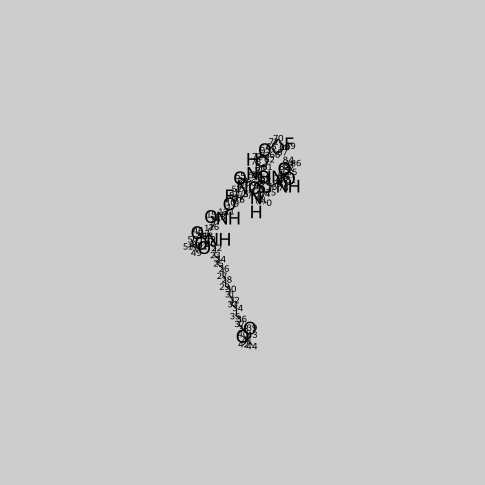 C[C@@H](NC(=O)[C@@H]1C[C@](F)(COCCNC(=O)CCC(NC(=O)CCCCCCCCCCCCCCCCC(=O)OC(C)(C)C)C(=O)OC(C)(C)C)CN1C(=O)CNC(=O)c1ccc(Oc2ccc(F)cc2)cc1)c1cc(C(=N)NC(=O)OC(C)(C)C)cs1